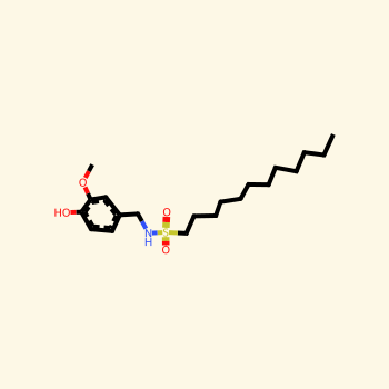 CCCCCCCCCCCCS(=O)(=O)NCc1ccc(O)c(OC)c1